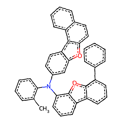 Cc1ccccc1N(c1ccc2c(c1)oc1ccc3ccccc3c12)c1cccc2c1oc1c(-c3ccccc3)cccc12